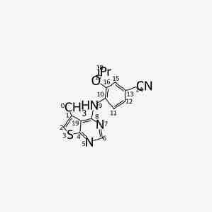 Cc1csc2ncnc(Nc3ccc(C#N)cc3OC(C)C)c12